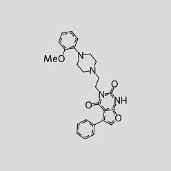 COc1ccccc1N1CCN(CCn2c(=O)[nH]c3occ(-c4ccccc4)c3c2=O)CC1